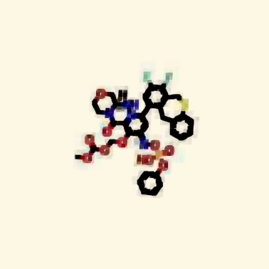 COC(=O)OCOc1c2n(c(-c3cc(F)c(F)c4c3Cc3ccccc3SC4)c/c1=N\OP(=O)(O)Oc1ccccc1)N[C@@H]1COCCN1C2=O